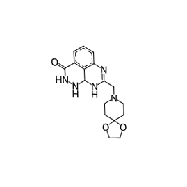 O=C1NNC2NC(CN3CCC4(CC3)OCCO4)=Nc3cccc1c32